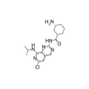 CC(C)Nc1nc(Cl)cc2cnc(NC(=O)C3CCC[C@@H](N)C3)nc12